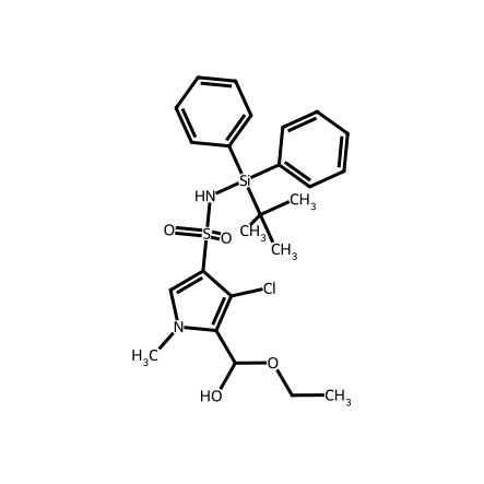 CCOC(O)c1c(Cl)c(S(=O)(=O)N[Si](c2ccccc2)(c2ccccc2)C(C)(C)C)cn1C